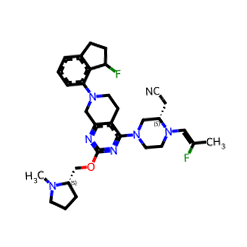 CC(F)=CN1CCN(c2nc(OC[C@@H]3CCCN3C)nc3c2CCN(c2cccc4c2C(F)CC4)C3)C[C@@H]1CC#N